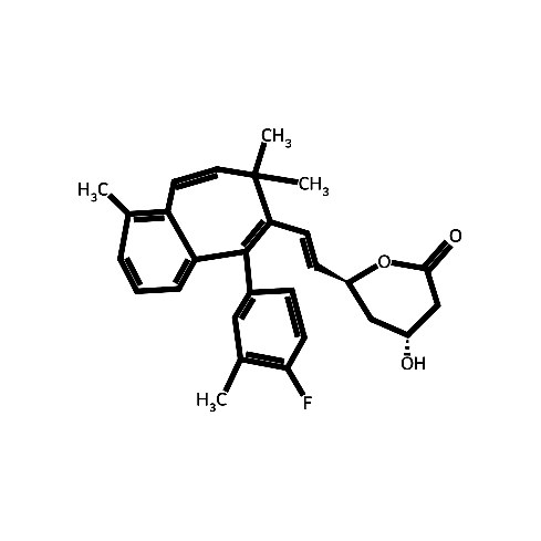 Cc1cc(C2=C(/C=C/[C@@H]3C[C@@H](O)CC(=O)O3)C(C)(C)C=Cc3c(C)cccc32)ccc1F